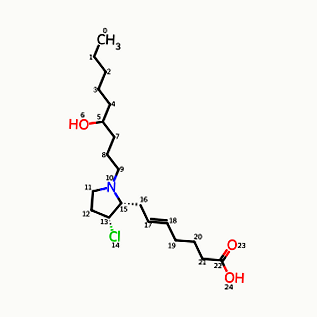 CCCCCC(O)CCCN1CC[C@@H](Cl)[C@H]1C/C=C/CCCC(=O)O